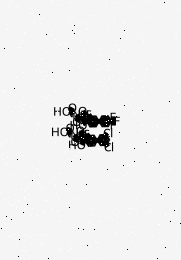 O=C(O)CNC(=O)c1c(O)c2ccc(-c3cc(Cl)cc(Cl)c3)cc2sc1=O.O=C(O)CNC(=O)c1c(O)c2ccc(-c3ccc(C(F)(F)F)cc3)cc2sc1=O